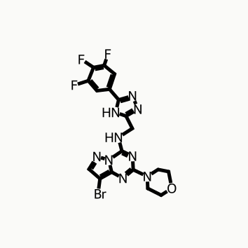 Fc1cc(-c2nnc(CNc3nc(N4CCOCC4)nc4c(Br)cnn34)[nH]2)cc(F)c1F